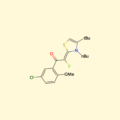 CCCCN1C(C(C)(C)C)=CSC1=C(F)C(=O)c1cc(Cl)ccc1OC